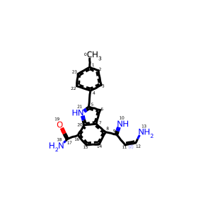 Cc1ccc(-c2cc3c(C(=N)/C=C\N)ccc(C(N)=O)c3[nH]2)cc1